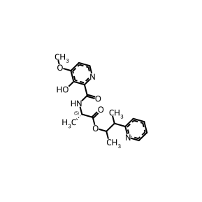 COc1ccnc(C(=O)N[C@@H](C)C(=O)OC(C)C(C)c2ccccn2)c1O